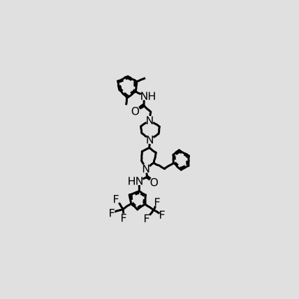 Cc1cccc(C)c1NC(=O)CN1CCN(C2CCN(C(=O)Nc3cc(C(F)(F)F)cc(C(F)(F)F)c3)C(Cc3ccccc3)C2)CC1